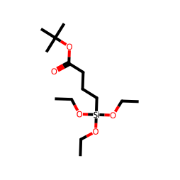 CCO[Si](CCCC(=O)OC(C)(C)C)(OCC)OCC